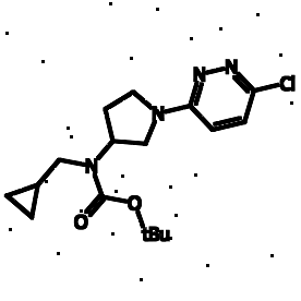 CC(C)(C)OC(=O)N(CC1CC1)C1CCN(c2ccc(Cl)nn2)C1